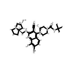 C[C@@H]1CN(C(=O)OC(C)(C)C)CCN1c1c(C#N)c(OC[C@@]23CCCN2C[C@H](F)C3)nc2c(F)c(Br)ccc12